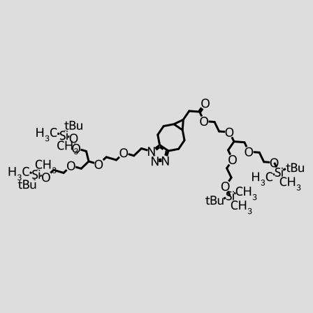 CC(C)(C)[Si](C)(C)OCCOCC(COCCO[Si](C)(C)C(C)(C)C)OCCOC(=O)CC1C2CCc3nnn(CCOCCOC(COCCO[Si](C)(C)C(C)(C)C)COO[Si](C)(C)C(C)(C)C)c3CCC21